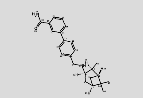 C[C@H]1[C@H]2C[C@H](C[C@H]1NCc1ccc(-c3cccc(C(N)=O)c3)cc1)C2(C)C